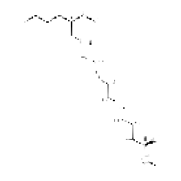 CCCCC(CC)COCCOCCOCCCC(=O)OC